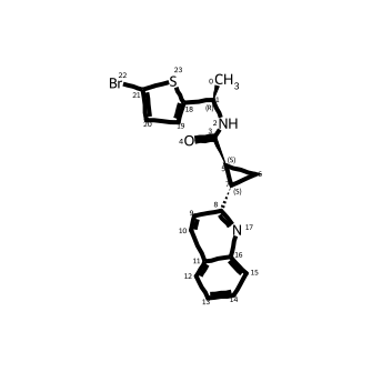 C[C@@H](NC(=O)[C@H]1C[C@@H]1c1ccc2ccccc2n1)c1ccc(Br)s1